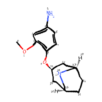 COc1cc(N)ccc1O[C@H]1C[C@H]2CC[C@@H](C1)N2C